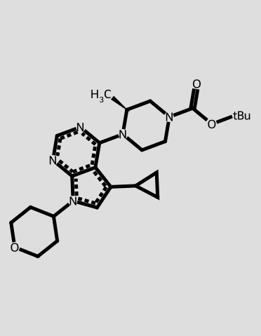 C[C@H]1CN(C(=O)OC(C)(C)C)CCN1c1ncnc2c1c(C1CC1)cn2C1CCOCC1